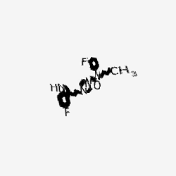 CCCCCN(C(=O)CN1CCN(CCCc2c[nH]c3ccc(F)cc23)CC1)c1cccc(F)c1